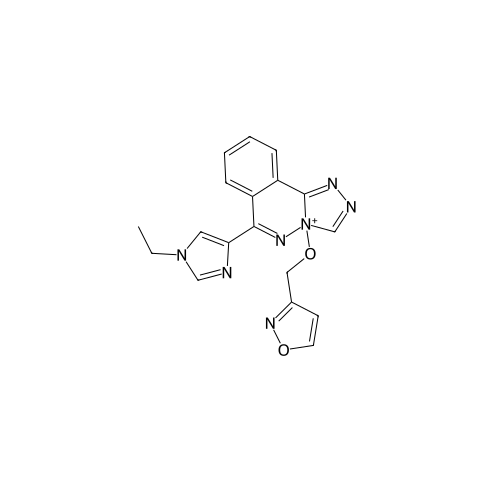 CCn1cnc(C2=N[N+]3(OCc4ccon4)C=NN=C3c3ccccc32)c1